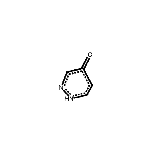 O=c1c[c][nH]nc1